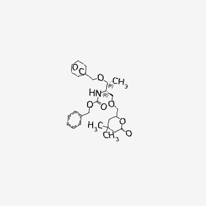 C[C@@H](OCC12CCC(CC1)OC2)[C@@H](COCC1CC(C)(C)CC(=O)O1)NC(=O)OCc1ccccc1